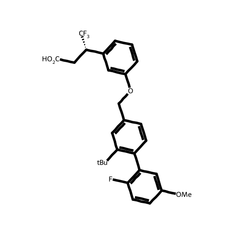 COc1ccc(F)c(-c2ccc(COc3cccc([C@H](CC(=O)O)C(F)(F)F)c3)cc2C(C)(C)C)c1